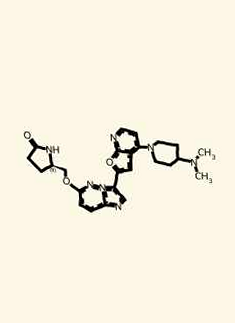 CN(C)C1CCN(c2ccnc3oc(-c4cnc5ccc(OC[C@H]6CCC(=O)N6)nn45)cc23)CC1